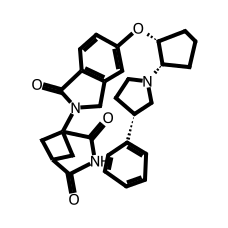 O=C1NC(=O)C2(N3Cc4cc(O[C@@H]5CCC[C@@H]5N5CC[C@@H](c6ccccc6)C5)ccc4C3=O)CC1C2